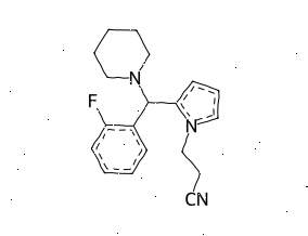 N#CCCn1cccc1C(c1ccccc1F)N1CCCCC1